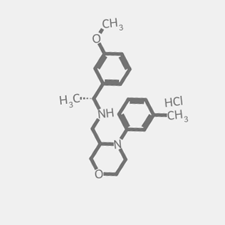 COc1cccc([C@@H](C)NCC2COCCN2c2cccc(C)c2)c1.Cl